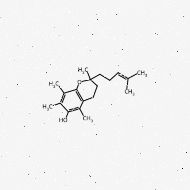 CC(C)=CCCC1(C)CCc2c(C)c(O)c(C)c(C)c2O1